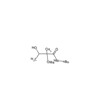 CCCCNC(=O)C(C)(OC)C(C)O